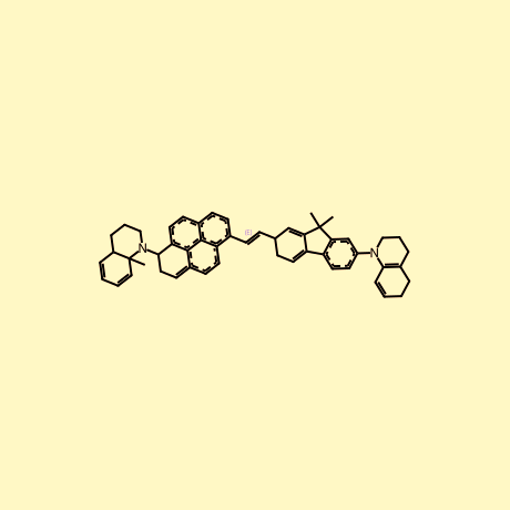 CC1(C)C2=CC(/C=C/c3ccc4ccc5c6c(ccc3c46)=CCC5N3CCCC4C=CC=CC43C)CC=C2c2ccc(N3CCCC4=C3C=CCC4)cc21